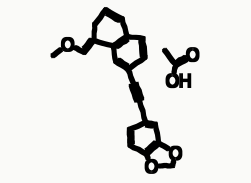 CC(=O)O.COC=C1CC=Cc2ccc(C#Cc3ccc4c(c3)OCO4)cc21